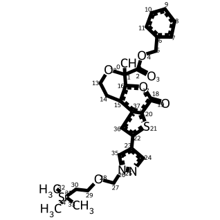 CC1(C(=O)OCc2ccccc2)OCCc2c1oc(=O)c1sc(-c3cnn(COCC[Si](C)(C)C)c3)cc21